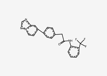 O=C(Cc1ccc(-c2ccn3ncnc3c2)cc1)Nc1ccccc1C(F)(F)F